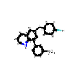 O=[N+]([O-])c1cccc(-c2cc(Cc3ccc(F)cc3)cc3cccnc23)c1